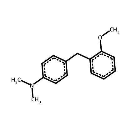 COc1ccccc1Cc1ccc(N(C)C)cc1